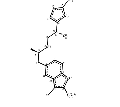 Cc1c(C(=O)O)oc2ccc(C[C@@H](C)NC[C@@H](O)c3csc(C(F)(F)F)n3)cc12